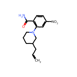 C=CCC1CCCN(c2cc([N+](=O)[O-])ccc2C(N)=O)C1